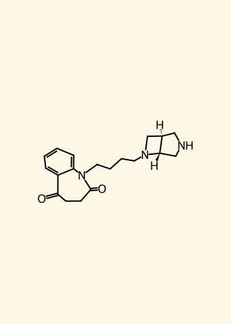 O=C1CCC(=O)N(CCCCN2C[C@H]3CNC[C@@H]32)c2ccccc21